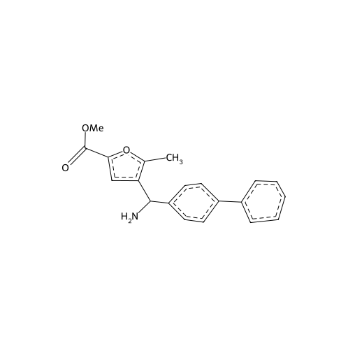 COC(=O)c1cc(C(N)c2ccc(-c3ccccc3)cc2)c(C)o1